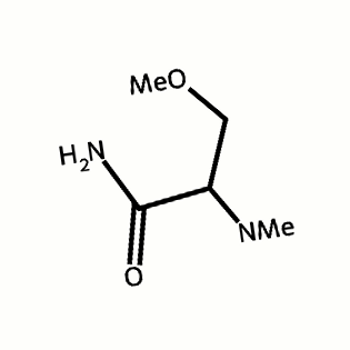 CNC(COC)C(N)=O